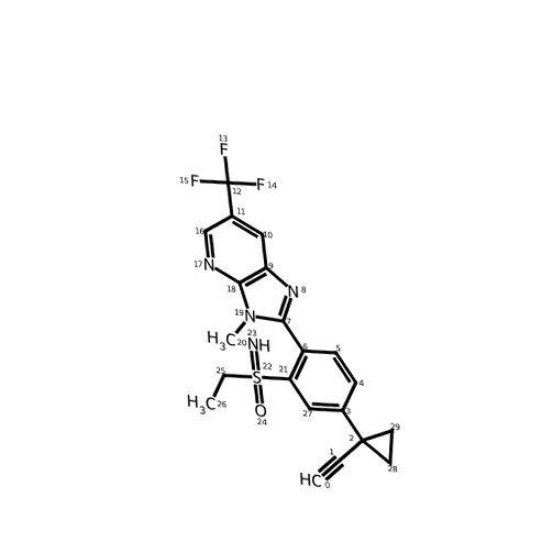 C#CC1(c2ccc(-c3nc4cc(C(F)(F)F)cnc4n3C)c(S(=N)(=O)CC)c2)CC1